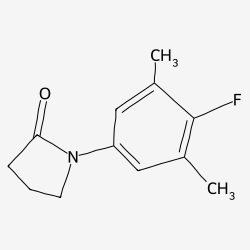 Cc1cc(N2CCCC2=O)cc(C)c1F